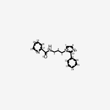 O=C(NCCCn1ccnc1-c1ccccc1)c1ccccn1